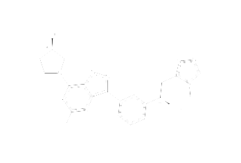 Cc1cc(N2CC[C@@H](O)C2)c2[nH]nc(-c3cccc([C@H](C)Cc4nncn4C)c3)c2n1